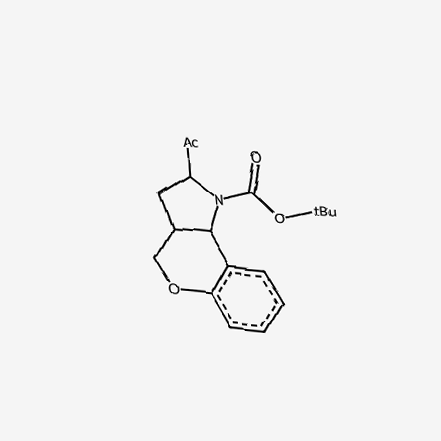 CC(=O)C1CC2COc3ccccc3C2N1C(=O)OC(C)(C)C